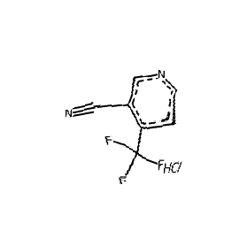 Cl.N#Cc1cnccc1C(F)(F)F